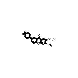 CCOC(=O)c1cc2c(=O)c3cc(C4=CCC(C)(C)CC4)ccc3oc2nc1N